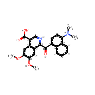 COc1cc2c(C(=O)O)cnc(C(=O)c3ccc(N(C)C)c4ccccc34)c2cc1OC